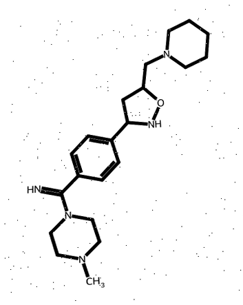 CN1CCN(C(=N)c2ccc(C3CC(CN4CC[CH]CC4)ON3)cc2)CC1